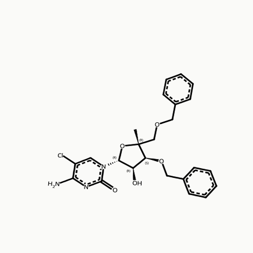 C[C@]1(COCc2ccccc2)O[C@@H](n2cc(Cl)c(N)nc2=O)[C@H](O)[C@@H]1OCc1ccccc1